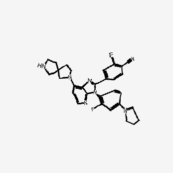 N#Cc1ccc(-c2nc3c(N4CCC5(CCNC5)C4)ccnc3n2-c2ccc(N3CCCC3)cc2F)cc1F